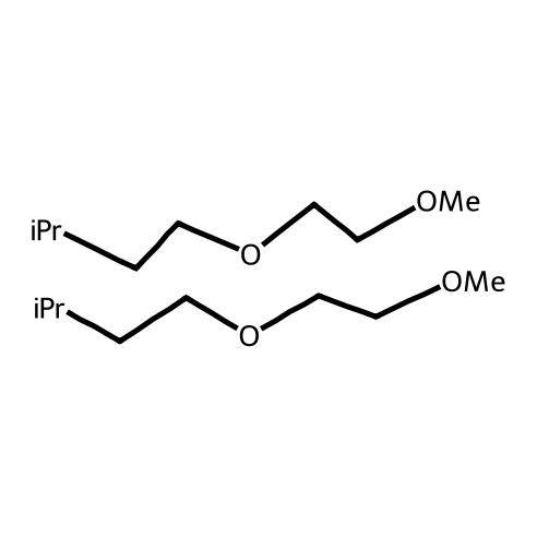 COCCOCCC(C)C.COCCOCCC(C)C